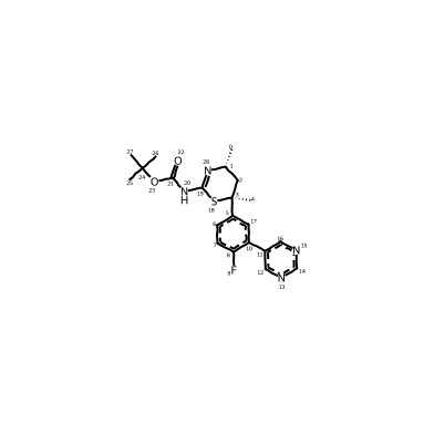 C[C@@H]1C[C@@](C)(c2ccc(F)c(-c3cncnc3)c2)SC(NC(=O)OC(C)(C)C)=N1